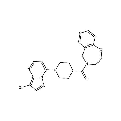 O=C(C1CCN(c2ccnc3c(Cl)cnn23)CC1)N1CCOc2ccncc2C1